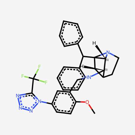 COc1ccc(-n2nnnc2C(F)(F)F)cc1CN[C@H]1C2CCN(CC2)[C@H]1C(c1ccccc1)c1ccccc1